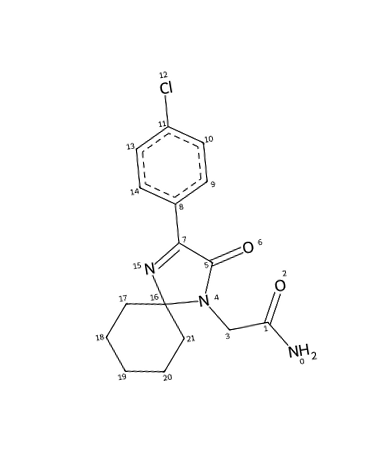 NC(=O)CN1C(=O)C(c2ccc(Cl)cc2)=NC12CCCCC2